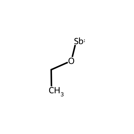 CC[O][Sb]